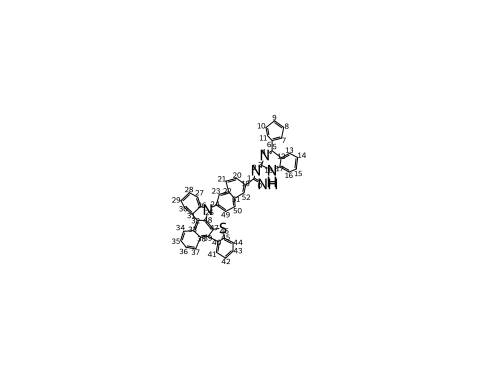 N=C(/N=c1/nc(-c2ccccc2)c2ccccc2[nH]1)c1ccc2cc(-n3c4ccccc4c4c5ccccc5c5c6ccccc6sc5c43)ccc2c1